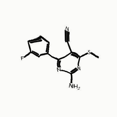 CSc1nc(N)nc(-c2cccc(F)c2)c1C#N